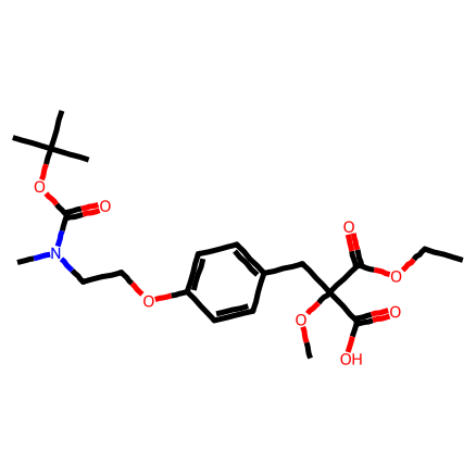 CCOC(=O)C(Cc1ccc(OCCN(C)C(=O)OC(C)(C)C)cc1)(OC)C(=O)O